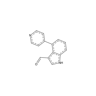 O=Cc1c[nH]c2cccc(-c3ccncc3)c12